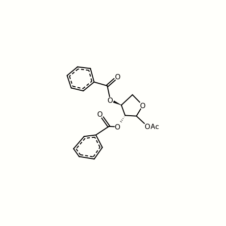 CC(=O)OC1OC[C@H](OC(=O)c2ccccc2)[C@H]1OC(=O)c1ccccc1